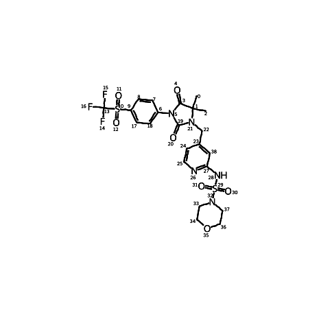 CC1(C)C(=O)N(c2ccc(S(=O)(=O)C(F)(F)F)cc2)C(=O)N1Cc1ccnc(NS(=O)(=O)N2CCOCC2)c1